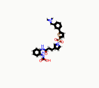 CN(C)Cc1cccc(-c2ccc(S(=O)(=O)n3ccc(C=CC(=O)Nc4ccccc4NC(=O)O)c3)s2)c1